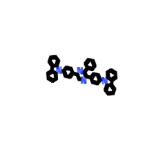 c1ccc(-c2nc(-c3ccc(-n4c5ccccc5c5ccccc54)cc3)cnc2-c2ccc(-n3c4ccccc4c4ccccc43)cc2)cc1